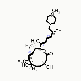 CC(=O)O[C@H]1/C=C/[C@H](C)[C@@H](/C(C)=C/C=C/[C@@H](C)CN2CCN(C)CC2)OC(=O)C[C@@H](O)CC[C@]1(C)O